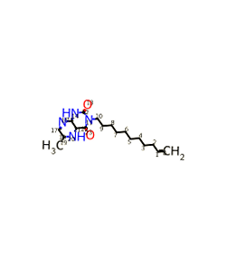 C=CCCCCCCCCCN1C(=O)NC2N=CC(C)NC2C1=O